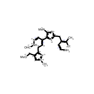 CC/C(C)=C(\C=C/N)Cc1nc(NC)c(C(/C=N\NC=O)=C/Cc2nn(C)cc2COC)s1